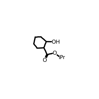 CC(C)OC(=O)C1CCCCC1O